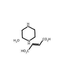 C1CNCCN1.O.O=C(O)/C=C/C(=O)O